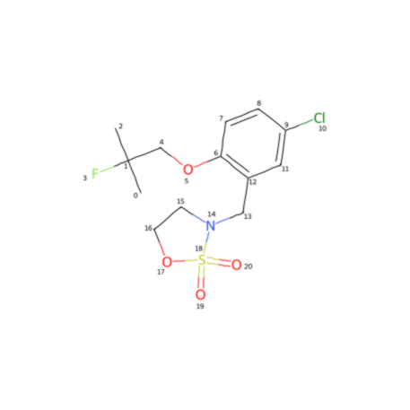 CC(C)(F)COc1ccc(Cl)cc1CN1CCOS1(=O)=O